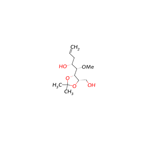 C=CC[C@@H](O)[C@H](OC)[C@H]1OC(C)(C)O[C@H]1CO